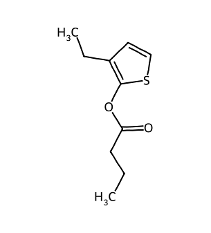 CCCC(=O)Oc1sccc1CC